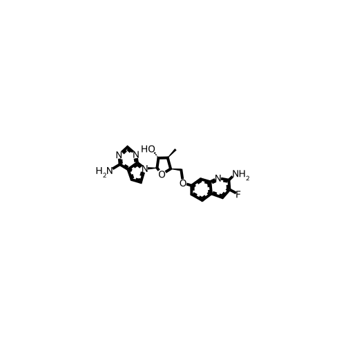 C[C@@H]1[C@@H](O)[C@H](n2ccc3c(N)ncnc32)O[C@@H]1COc1ccc2cc(F)c(N)nc2c1